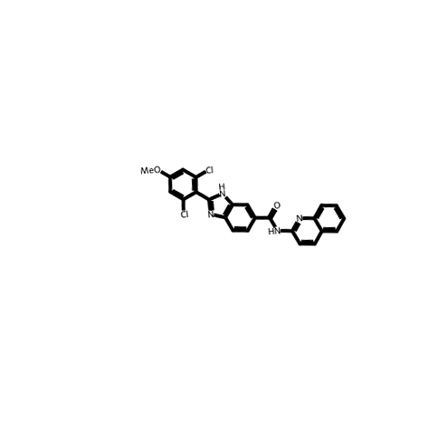 [CH2]Oc1cc(Cl)c(-c2nc3ccc(C(=O)Nc4ccc5ccccc5n4)cc3[nH]2)c(Cl)c1